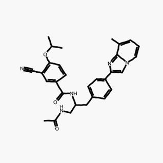 CC(=O)NCC(Cc1ccc(-c2cn3cccc(C)c3n2)cc1)NC(=O)c1ccc(OC(C)C)c(C#N)c1